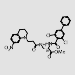 COC(=O)[C@H](CNC(=O)CCN1CCCc2ccc([N+](=O)[O-])cc21)NC(=O)c1c(Cl)cc(-c2ccccc2)cc1Cl